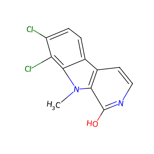 Cn1c2c(O)nccc2c2ccc(Cl)c(Cl)c21